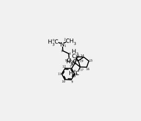 CN(C)CCO[C@]1(c2ccccc2)CC2CCC1(C)C2(C)C